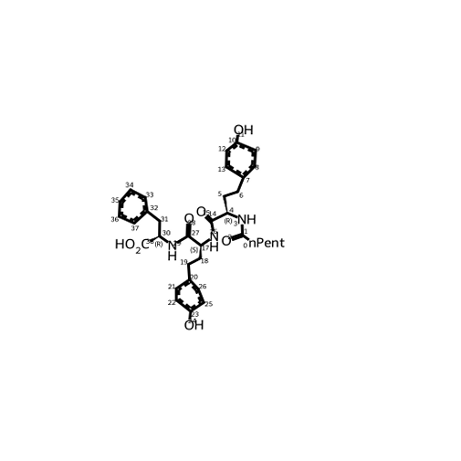 CCCCCC(=O)N[C@H](CCc1ccc(O)cc1)C(=O)N[C@@H](CCc1ccc(O)cc1)C(=O)N[C@H](Cc1ccccc1)C(=O)O